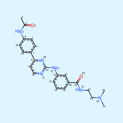 CC(=O)Nc1ccc(-c2ccnc(Nc3cccc(C(=O)NCCN(C)C)c3)n2)cc1